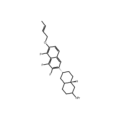 C/C=C/COc1ccc2cc([C@@H]3CC[C@@H]4CC(CCC)CCC4C3)c(F)c(F)c2c1F